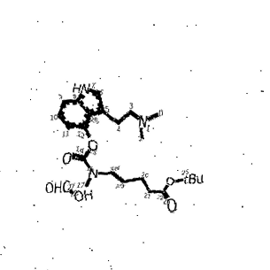 CN(C)CCc1c[nH]c2cccc(OC(=O)N(C)CCCCC(=O)OC(C)(C)C)c12.O=CO